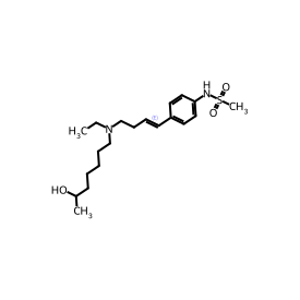 CCN(CC/C=C/c1ccc(NS(C)(=O)=O)cc1)CCCCCC(C)O